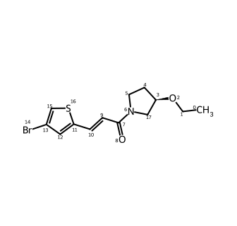 CCO[C@@H]1CCN(C(=O)/C=C/c2cc(Br)cs2)C1